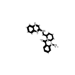 O=C(c1ccccc1OC(F)(F)F)N1CCCCC1CNc1cnc2ccccc2n1